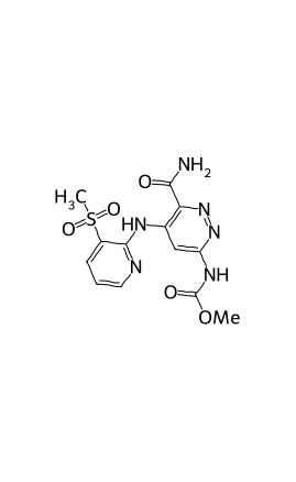 COC(=O)Nc1cc(Nc2ncccc2S(C)(=O)=O)c(C(N)=O)nn1